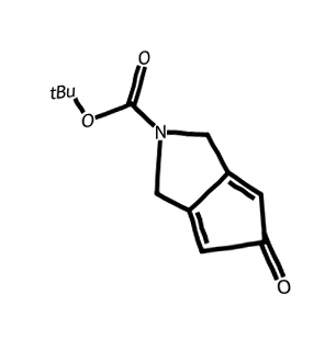 CC(C)(C)OC(=O)N1CC2=CC(=O)C=C2C1